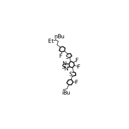 CCCCC(CC)CCc1ccc(-c2ccc(-c3c(F)c(F)c(-c4ccc(-c5ccc(CCC(C)CC)cc5F)s4)c4nsnc34)s2)c(F)c1